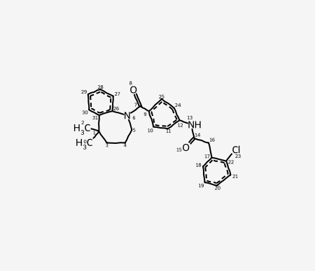 CC1(C)CCCN(C(=O)c2ccc(NC(=O)Cc3ccccc3Cl)cc2)c2ccccc21